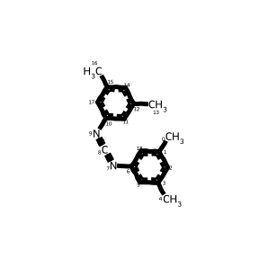 Cc1cc(C)cc(N=C=Nc2cc(C)cc(C)c2)c1